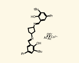 CC(=O)[O-].CC(=O)[O-].CC(C)c1cc(C=NC2CCC(N=Cc3cc(C(C)C)cc(C(C)(C)C)c3O)C2)c(O)c(C(C)(C)C)c1.[Co+2]